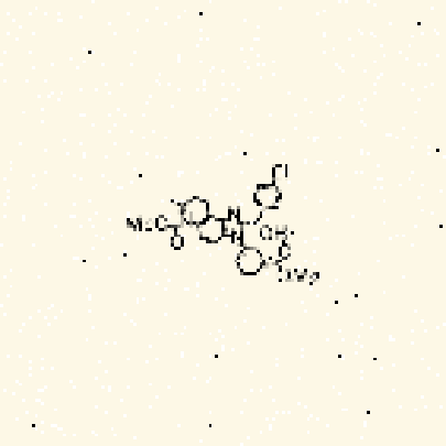 COC(=O)[C@@H]1CCC[C@@H](n2c(C(O)c3ccc(Cl)cc3)nc3c4c(ccc32)N(C(=O)OC)[C@@H](C)CC4)C1